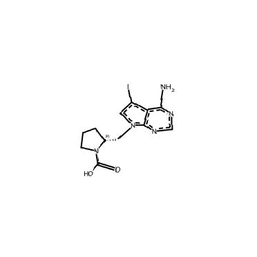 Nc1ncnc2c1c(I)cn2C[C@H]1CCCN1C(=O)O